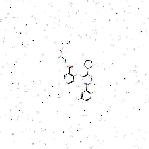 O=C(NCC(O)CO)c1cnccc1Nc1nc(-c2cc(Cl)ccc2F)ncc1C1CCCC1